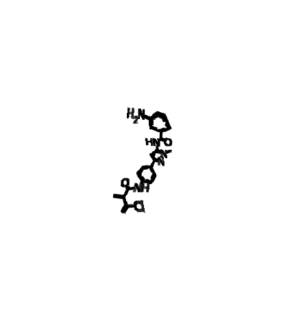 C=C(Cl)C(=C)C(=O)Nc1ccc(-c2cc(NC(=O)c3cccc(N)c3)n(C)n2)cc1